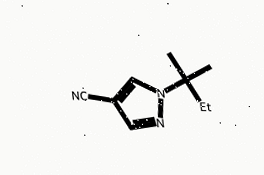 CCC(C)(C)n1cc(C#N)cn1